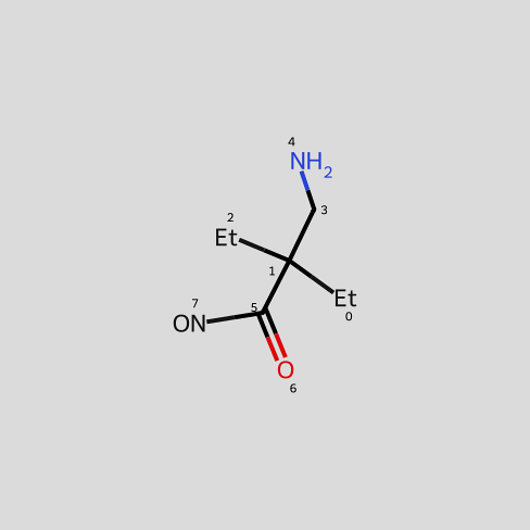 CCC(CC)(CN)C(=O)N=O